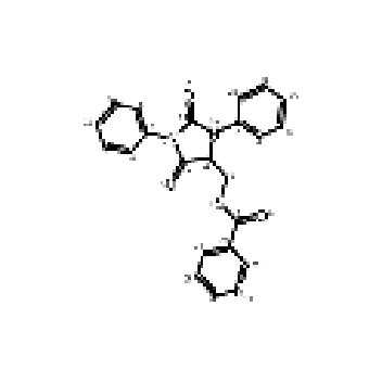 O=C(SCC1C(=O)N(c2ccccc2)C(=O)N1c1ccccc1)c1cccnc1